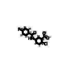 O=C(Nc1ccc(Cl)c([N+](=O)[O-])c1)c1ccc(F)cc1